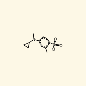 Cc1nc(N(C)C2CC2)ccc1S(=O)(=O)Cl